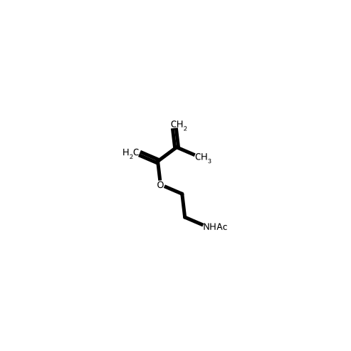 C=C(C)C(=C)OCCNC(C)=O